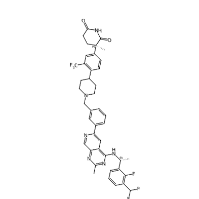 Cc1nc(N[C@H](C)c2cccc(C(F)F)c2F)c2cc(-c3cccc(CN4CCC(c5ccc([C@@]6(C)CCC(=O)NC6=O)cc5C(F)(F)F)CC4)c3)ncc2n1